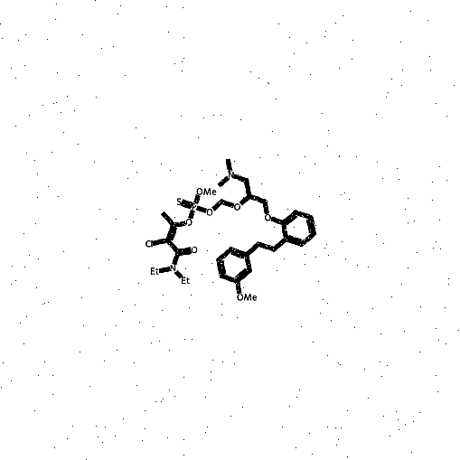 CCN(CC)C(=O)/C(Cl)=C(/C)OP(=S)(OC)OCOC(COc1ccccc1CCc1cccc(OC)c1)CN(C)C